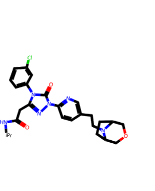 CC(C)NC(=O)Cc1nn(-c2ccc(CCN3C4CCC3COC4)cn2)c(=O)n1-c1cccc(Cl)c1